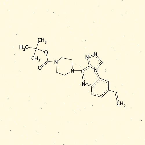 C=Cc1ccc2nc(N3CCN(C(=O)OC(C)(C)C)CC3)c3nncn3c2c1